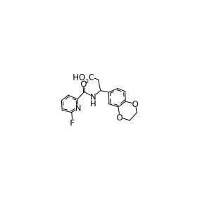 O=C(O)CC(NC(=O)c1cccc(F)n1)c1ccc2c(c1)OCCO2